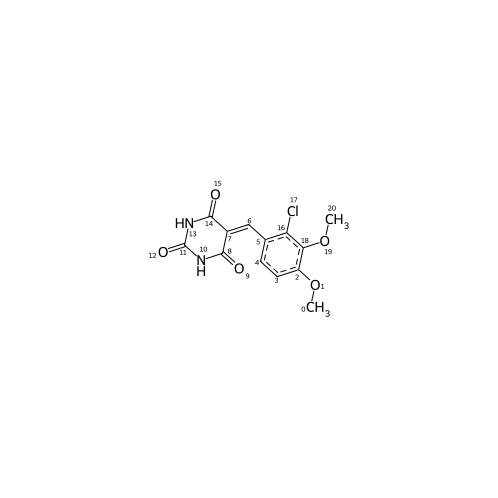 COc1ccc(C=C2C(=O)NC(=O)NC2=O)c(Cl)c1OC